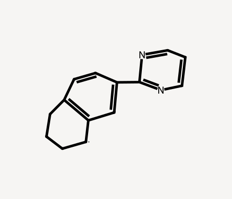 [CH]1CCCc2ccc(-c3ncccn3)cc21